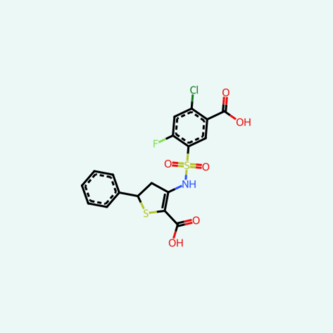 O=C(O)C1=C(NS(=O)(=O)c2cc(C(=O)O)c(Cl)cc2F)CC(c2ccccc2)S1